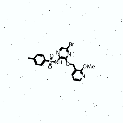 COc1ncccc1COc1nc(Br)cnc1NS(=O)(=O)c1ccc(C)cc1